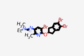 CCN(C)/C=N/c1cc(Br)c(OC2Cc3cc(Br)c(Br)cc3C2)nc1C